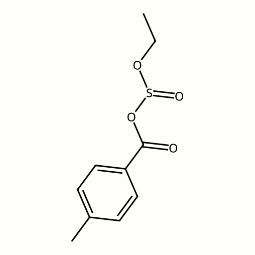 CCOS(=O)OC(=O)c1ccc(C)cc1